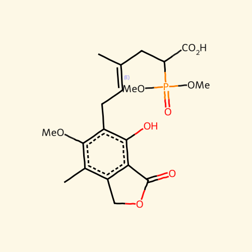 COc1c(C)c2c(c(O)c1C/C=C(\C)CC(C(=O)O)P(=O)(OC)OC)C(=O)OC2